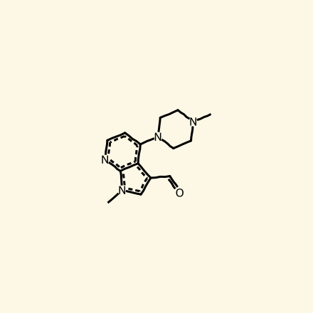 CN1CCN(c2ccnc3c2c(C=O)cn3C)CC1